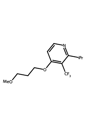 COCCCOc1ccnc(C(C)C)c1C(F)(F)F